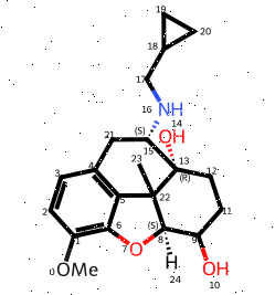 COc1ccc2c3c1O[C@@H]1C(O)CC[C@](O)([C@@H](NCC4CC4)C2)C31C